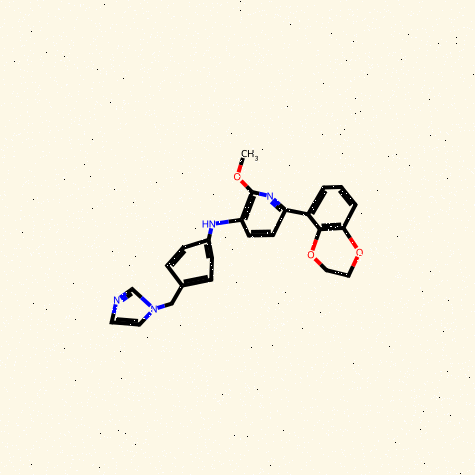 COc1nc(-c2cccc3c2OCCO3)ccc1Nc1ccc(Cn2ccnc2)cc1